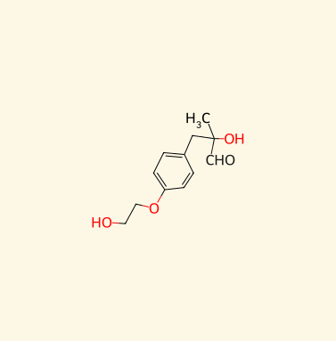 CC(O)(C=O)Cc1ccc(OCCO)cc1